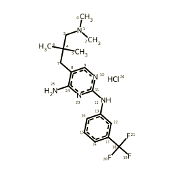 CN(C)CC(C)(C)Cc1cnc(Nc2cccc(C(F)(F)F)c2)nc1N.Cl